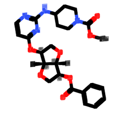 CC(C)(C)OC(=O)N1CCC(Nc2nccc(O[C@H]3CO[C@H]4[C@@H]3OC[C@@H]4OC(=O)c3ccccc3)n2)CC1